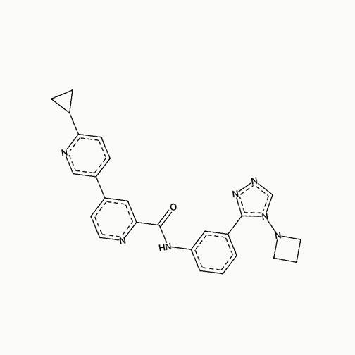 O=C(Nc1cccc(-c2nncn2N2CCC2)c1)c1cc(-c2ccc(C3CC3)nc2)ccn1